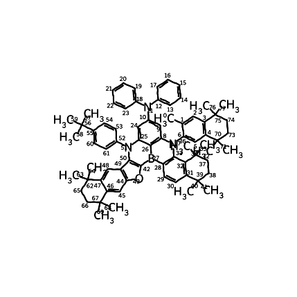 Cc1cc2c(cc1N1c3cc(N(c4ccccc4)c4ccccc4)cc4c3B(c3ccc5c(c31)C(C)(C)CCC5(C)C)c1oc3cc5c(cc3c1N4c1ccc(C(C)(C)C)cc1)C(C)(C)CCC5(C)C)C(C)(C)CCC2(C)C